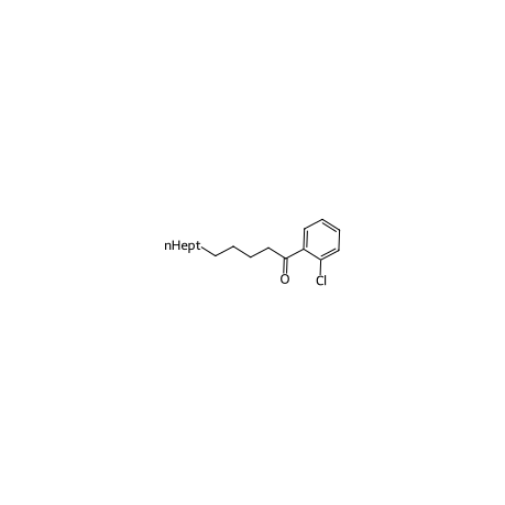 CCCCCCCCCCCC(=O)c1ccccc1Cl